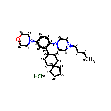 CCCCN1CCN(c2ccc(N3CCOCC3)cc2C2CCC3(CCCC3)CC2)CC1.Cl